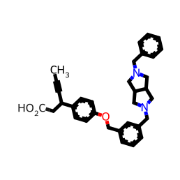 CC#CC(CC(=O)O)c1ccc(OCc2cccc(CN3CC4CN(Cc5ccccc5)CC4C3)c2)cc1